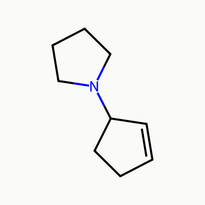 C1=CC(N2CCCC2)CC1